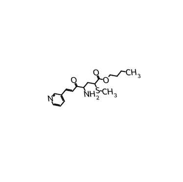 CCCCOC(=O)C(CC(N)C(=O)C=Cc1cccnc1)SC